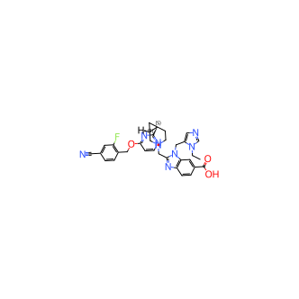 CCn1cncc1Cn1c(CN2CC[C@@]3(c4nccc(OCc5ccc(C#N)cc5F)n4)C[C@H]3C2)nc2ccc(C(=O)O)cc21